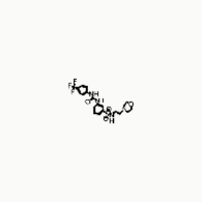 O=C(Nc1ccc(C(F)(F)F)cc1)Nc1cccc(S(=O)(=O)NCCN2CCOCC2)c1